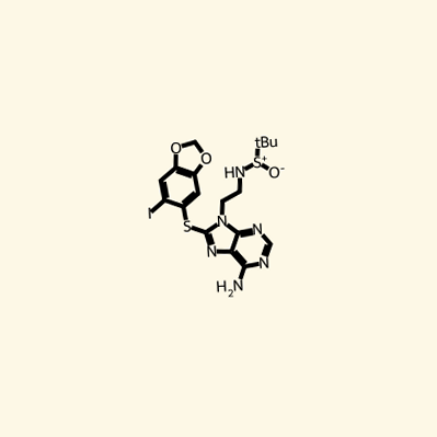 CC(C)(C)[S+]([O-])NCCn1c(Sc2cc3c(cc2I)OCO3)nc2c(N)ncnc21